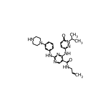 C=CCNC(=O)c1cnc(Nc2cccc(N3CCNCC3)c2)nc1Nc1ccc(=O)n(C(C)C)n1